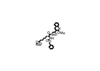 COc1nc2ccccc2cc1C(=O)CNC(=O)[C@H](CCCCCC(=O)OC(C)(C)C)NC(=O)OCc1ccccc1